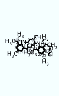 Cc1cc(C(C)C)c(NCCN(C)CNc2c(C(C)C)cc(C)[c]([Co]([Cl])[Cl])c2C(C)C)c(C(C)C)c1